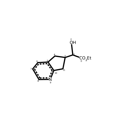 CCOC(=O)C(O)C1Cc2cccnc2C1